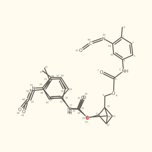 Cc1ccc(NC(=O)OCC23CC(C2OC(=O)Nc2ccc(C)c(N=C=O)c2)C3OC(=O)Nc2ccc(C)c(N=C=O)c2)cc1N=C=O